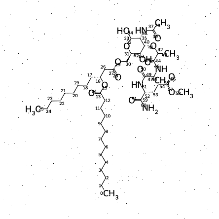 CCCCCCCCCCCCCC(=O)O[C@H](CCCCCCCCC)CC(=O)OC[C@H]1OC(O)[C@H](NC(C)=O)[C@H](OC(C)C(=O)N[C@@H](C)C(=O)N[C@H](CCC(=O)OC)C(N)=O)[C@@H]1O